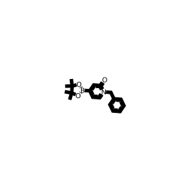 CC1(C)OB(c2ccn(Cc3ccccc3)c(=O)c2)OC1(C)C